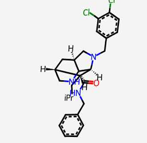 CC(C)C[C@@H]1[C@@H]2CN[C@@]3(C(=O)NCc4ccccc4)[C@@H](C2)CN(Cc2ccc(Cl)c(Cl)c2)[C@@H]13